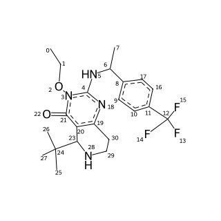 CCOn1c(NC(C)c2ccc(C(F)(F)F)cc2)nc2c(c1=O)C(C(C)(C)C)NCC2